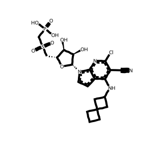 N#Cc1c(Cl)nc2c(ccn2[C@@H]2O[C@H](CS(=O)(=O)CP(=O)(O)O)[C@@H](O)[C@H]2O)c1NC1CC2(CCC2)C1